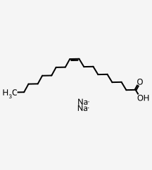 CCCCCCCC/C=C\CCCCCCCC(=O)O.[Na].[Na]